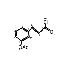 CC(=O)Oc1cccc(C=CC(=O)Cl)c1